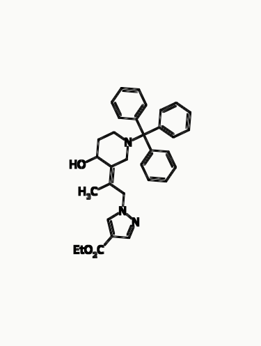 CCOC(=O)c1cnn(C/C(C)=C2\CN(C(c3ccccc3)(c3ccccc3)c3ccccc3)CCC2O)c1